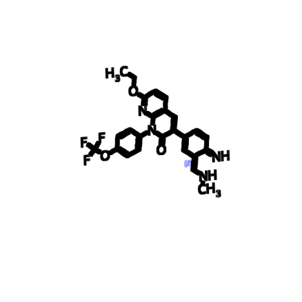 CCOc1ccc2cc(C3=C/C(=C/NC)C(=N)C=C3)c(=O)n(-c3ccc(OC(F)(F)F)cc3)c2n1